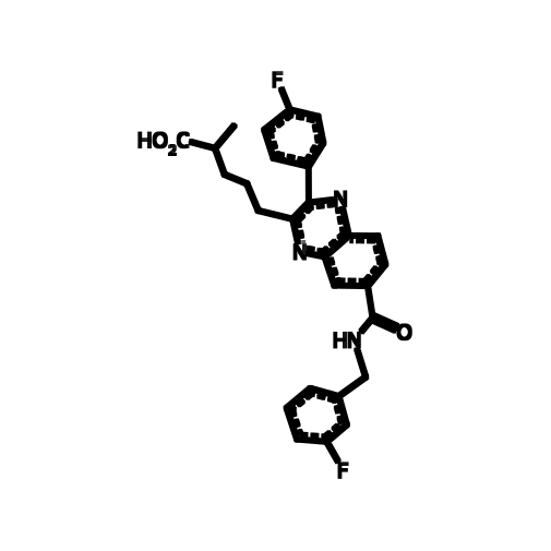 CC(CCCc1nc2cc(C(=O)NCc3cccc(F)c3)ccc2nc1-c1ccc(F)cc1)C(=O)O